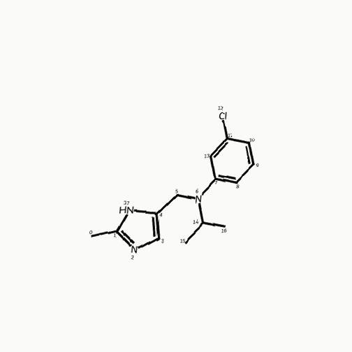 Cc1ncc(CN(c2cccc(Cl)c2)C(C)C)[nH]1